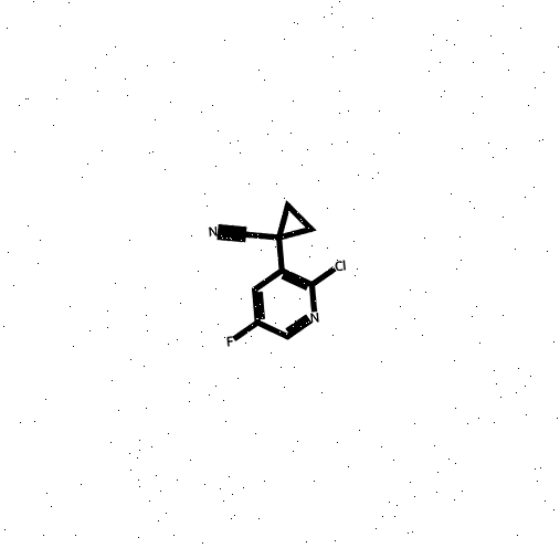 N#CC1(c2cc(F)cnc2Cl)CC1